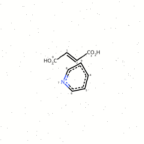 O=C(O)/C=C/C(=O)O.c1ccncc1